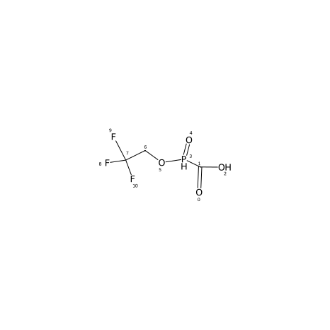 O=C(O)[PH](=O)OCC(F)(F)F